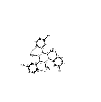 NC1N(c2cc(F)ccc2F)C(N)N(c2cc(F)ccc2F)C(N)N1c1cc(F)ccc1F